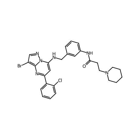 O=C(CCN1CCCCC1)Nc1cccc(CNc2cc(-c3ccccc3Cl)nc3c(Br)cnn23)c1